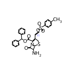 Cc1ccc(S(=O)(=O)O/C=C/C2=C(C(=O)OC(c3ccccc3)c3ccccc3)N3C(=O)C(N)C3SC2)cc1